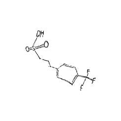 O=S(=O)(O)CC[CH]c1ccc(C(F)(F)F)cc1